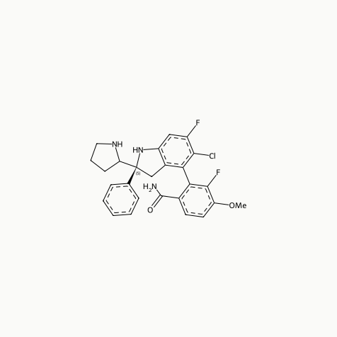 COc1ccc(C(N)=O)c(-c2c(Cl)c(F)cc3c2C[C@](c2ccccc2)(C2CCCN2)N3)c1F